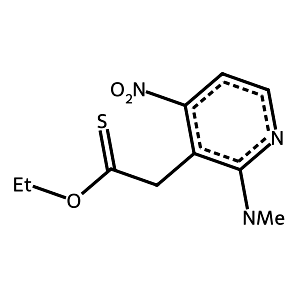 CCOC(=S)Cc1c([N+](=O)[O-])ccnc1NC